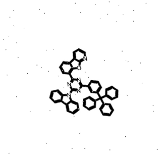 c1ccc(C(c2ccccc2)(c2ccccc2)c2cccc(-c3nc(-c4cccc5c4oc4ncccc45)nc(-n4c5ccccc5c5ccccc54)n3)c2)cc1